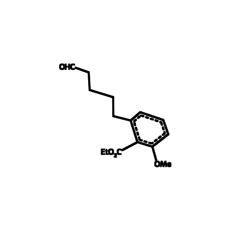 CCOC(=O)c1c(CCCCC=O)cccc1OC